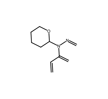 C=CC(=C)N(N=C)C1CCCCO1